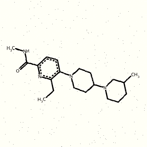 CCc1nc(C(=O)NC)ccc1N1CCC(N2CCCC(C)C2)CC1